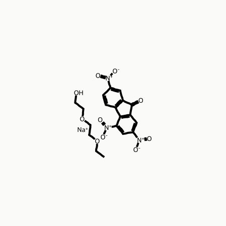 CCOCCOCCO.O=C1c2cc([N+](=O)[O-])ccc2-c2c1cc([N+](=O)[O-])cc2[N+](=O)[O-].[Na+]